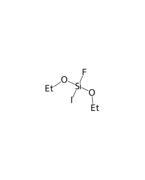 CCO[Si](F)(I)OCC